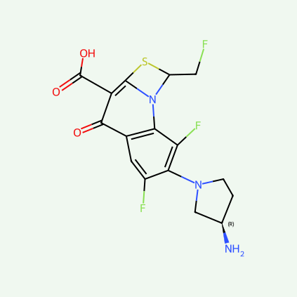 N[C@@H]1CCN(c2c(F)cc3c(=O)c(C(=O)O)c4n(c3c2F)C(CF)S4)C1